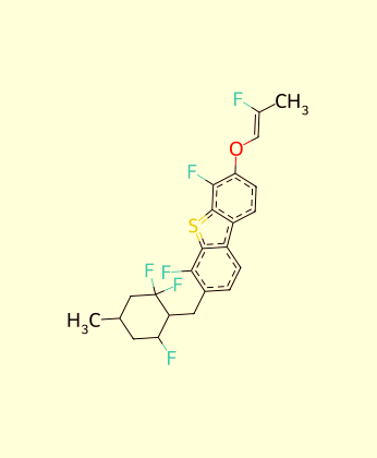 C/C(F)=C/Oc1ccc2c(sc3c(F)c(CC4C(F)CC(C)CC4(F)F)ccc32)c1F